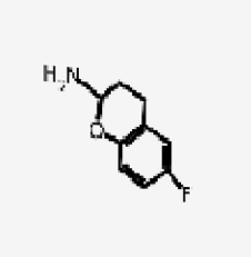 N[C]1CCc2cc(F)ccc2O1